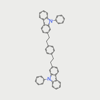 c1ccc(-n2c3ccccc3c3ccc(CCc4ccc(CCc5ccc6c7ccccc7n(-c7ccccc7)c6c5)cc4)cc32)cc1